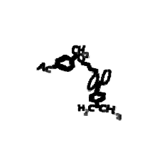 C=C(C)c1ccc(C(=O)OCCCCOC(=C)c2ccc(C(C)=O)cc2)cc1